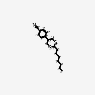 CCCCCCCC1SCC(c2ccc(C#N)cc2)CS1